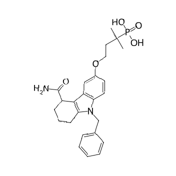 CC(C)(CCOc1ccc2c(c1)c1c(n2Cc2ccccc2)CCCC1C(N)=O)P(=O)(O)O